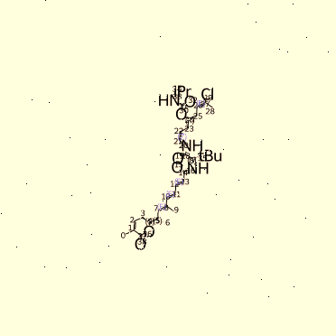 CC1=CC[C@@H]([C@@H](C)/C=C(C)/C=C/C=C/C(=O)N[C@H](C(=O)N/C=C\C[C@H](C/C=C(\C)Cl)OC(=O)NC(C)C)C(C)(C)C)OC1=O